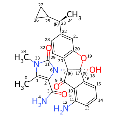 Cc1c(C(N)=O)n([C@@]23C(=O)c4c(N)cccc4[C@]2(O)Oc2cc([C@H](C)C4CC4)ccc23)c(=O)n1C